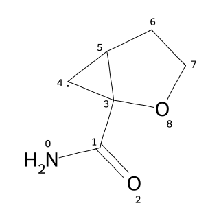 NC(=O)C12[CH]C1CCO2